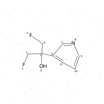 OC(CF)(CF)c1[c]nccc1